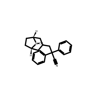 CN1[C@@H]2CC[C@H]1CC(CC(C#N)(c1ccccc1)c1ccccc1)C2